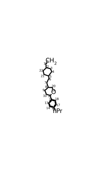 C=CC1CCC(CCC2CCC(c3ccc(CCC)cc3)OC2)CC1